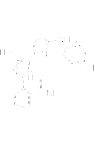 Cc1nc(-c2ccccc2C(N)=O)[nH]c1-c1csc(Nc2ccc(Cl)cn2)n1